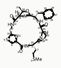 CSCC[C@@H]1NC(=O)c2csc(n2)CNC(=O)[C@H]2N=C(O[C@@H]2C)[C@H](Cc2ccccc2)NC(=O)[C@@H]2CSC1=N2